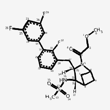 COCC(=O)N1C2CC(C2)[C@H](NS(C)(=O)=O)[C@@H]1Cc1cccc(-c2cc(F)cc(F)c2)c1F